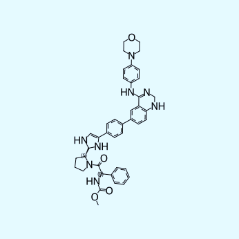 COC(=O)N[C@@H](C(=O)N1CCC[C@H]1C1NC=C(c2ccc(-c3ccc4c(c3)C(Nc3ccc(N5CCOCC5)cc3)=NCN4)cc2)N1)c1ccccc1